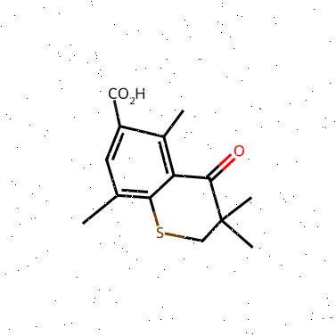 Cc1cc(C(=O)O)c(C)c2c1SCC(C)(C)C2=O